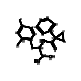 Cc1ccc(C[C@H](NC(=O)C2(c3ccccc3)CC2)B(O)O)c(C)c1